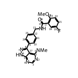 CNc1ncnc2[nH]nc(-c3ccc(CNC(=O)c4cc(F)ccc4OC)cc3)c12